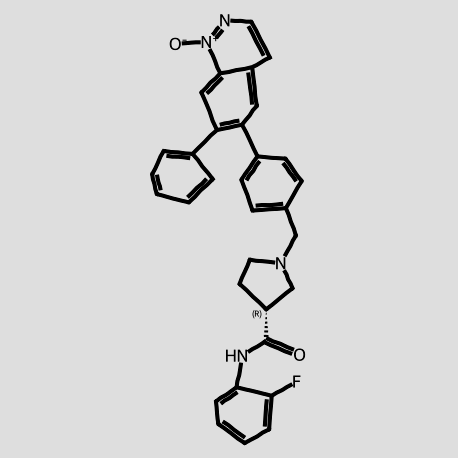 O=C(Nc1ccccc1F)[C@@H]1CCN(Cc2ccc(-c3cc4ccn[n+]([O-])c4cc3-c3ccccc3)cc2)C1